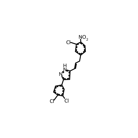 O=[N+]([O-])c1ccc(C/C=C/c2cc(-c3ccc(Cl)c(Cl)c3)n[nH]2)cc1Cl